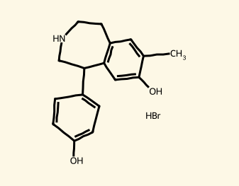 Br.Cc1cc2c(cc1O)C(c1ccc(O)cc1)CNCC2